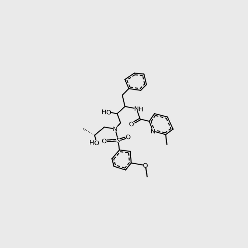 COc1cccc(S(=O)(=O)N(CC(O)C(Cc2ccccc2)NC(=O)c2cccc(C)n2)C[C@@H](C)O)c1